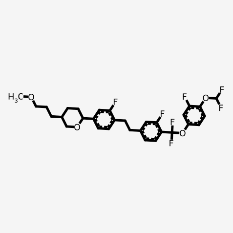 COCCCC1CCC(c2ccc(CCc3ccc(C(F)(F)Oc4ccc(OC(F)F)c(F)c4)c(F)c3)c(F)c2)OC1